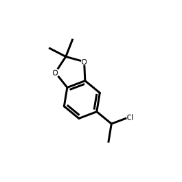 CC(Cl)c1ccc2c(c1)OC(C)(C)O2